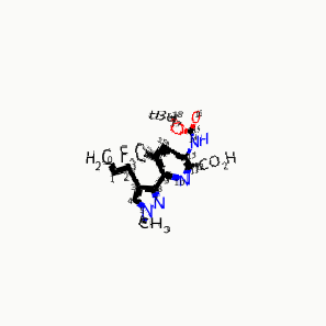 C=CCc1cn(C)nc1-c1nc(C(=O)O)c(NC(=O)OC(C)(C)C)cc1C(F)(F)F